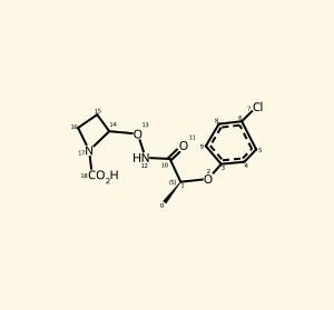 C[C@H](Oc1ccc(Cl)cc1)C(=O)NOC1CCN1C(=O)O